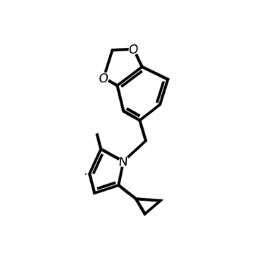 Cc1[c]cc(C2CC2)n1Cc1ccc2c(c1)OCO2